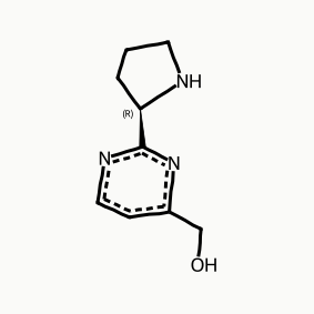 OCc1ccnc([C@H]2CCCN2)n1